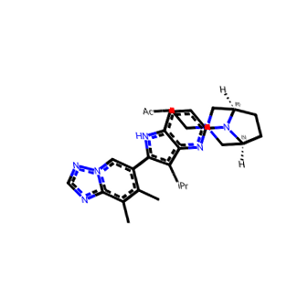 CC(=O)CCN1C[C@H]2CC[C@@H](C1)N2c1ccc2[nH]c(-c3cn4ncnc4c(C)c3C)c(C(C)C)c2n1